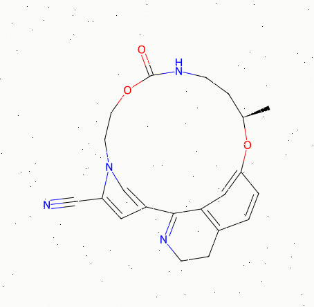 C[C@@H]1CCNC(=O)OCCn2cc(cc2C#N)C2=NCCc3ccc(cc32)O1